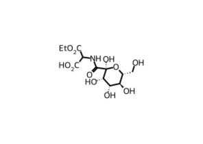 CCOC(=O)C(NC(=O)[C@@]1(O)O[C@H](CO)[C@@H](O)[C@H](O)[C@@H]1O)C(=O)O